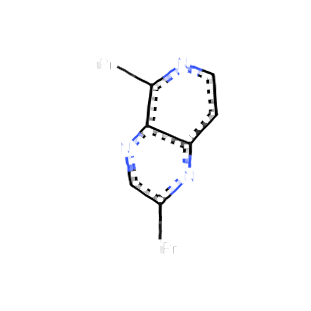 CC(C)c1cnc2c(C(C)C)nccc2n1